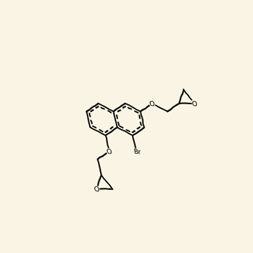 Brc1cc(OCC2CO2)cc2cccc(OCC3CO3)c12